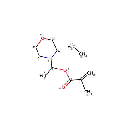 C=C(C)C(=O)OC(C)N1CCOCC1.CC